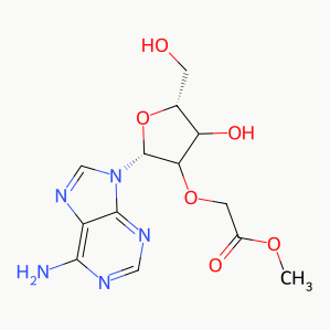 COC(=O)COC1C(O)[C@@H](CO)O[C@H]1n1cnc2c(N)ncnc21